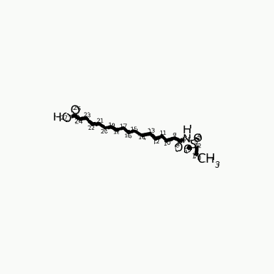 CCCS(=O)(=O)NC(=O)CCCCCCCCCCCCCCCCC(=O)O